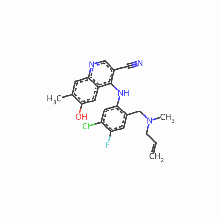 C=CCN(C)Cc1cc(F)c(Cl)cc1Nc1c(C#N)cnc2cc(C)c(O)cc12